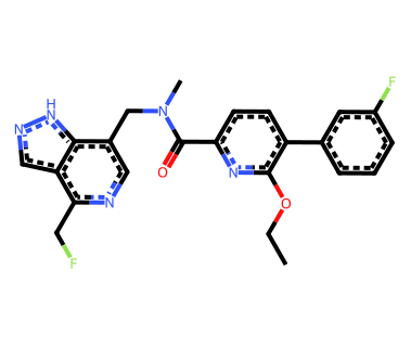 CCOc1nc(C(=O)N(C)Cc2cnc(CF)c3cn[nH]c23)ccc1-c1cccc(F)c1